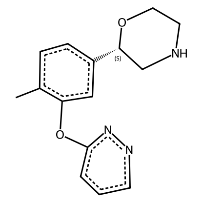 Cc1ccc([C@H]2CNCCO2)cc1Oc1cccnn1